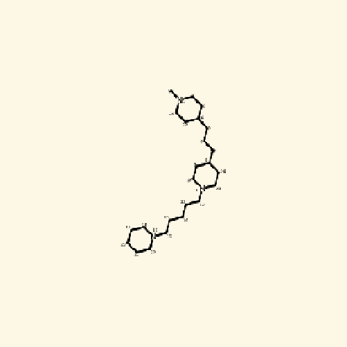 CN1CCC(CCCC2CCN(CCCCCN3CCCCC3)CC2)CC1